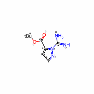 CC(C)(C)OC(=O)c1ccnn1C(=N)N